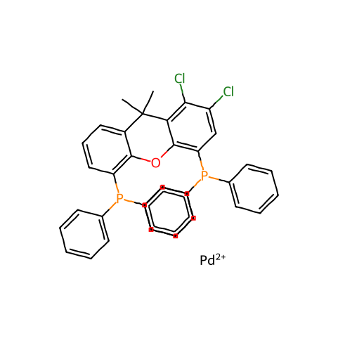 CC1(C)c2cccc(P(c3ccccc3)c3ccccc3)c2Oc2c(P(c3ccccc3)c3ccccc3)cc(Cl)c(Cl)c21.[Pd+2]